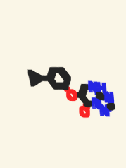 O=c1c(Oc2cccc(C3CC3)c2)c[nH]c2ncnn12